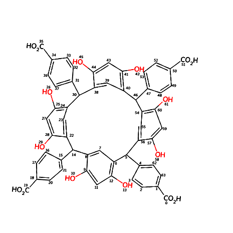 O=C(O)c1ccc(C2c3cc(c(O)cc3O)C(c3ccc(C(=O)O)cc3)c3cc(c(O)cc3O)C(c3ccc(C(=O)O)cc3)c3cc(c(O)cc3O)C(c3ccc(C(=O)O)cc3)c3cc2c(O)cc3O)cc1